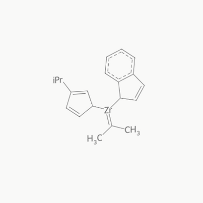 C[C](C)=[Zr]([CH]1C=CC(C(C)C)=C1)[CH]1C=Cc2ccccc21